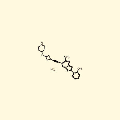 Cl.Nc1nc2nc(-c3ccccc3O)cn2cc1C#CC1CC(OC2CCNCC2)C1